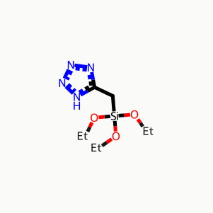 CCO[Si](Cc1nnn[nH]1)(OCC)OCC